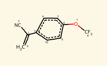 C=C(C#N)c1ccc(OC(F)(F)F)cc1